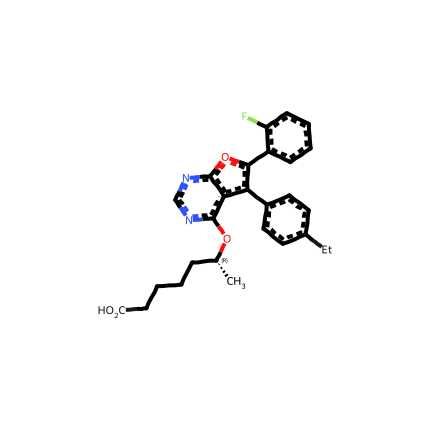 CCc1ccc(-c2c(-c3ccccc3F)oc3ncnc(O[C@H](C)CCCCC(=O)O)c23)cc1